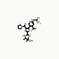 CCC(Nc1cc(C(F)F)c(-c2sc(C(=O)NC(C)C(C)(C)O)nc2C(=O)N2CCC[C@@H]2C)cn1)C(F)(F)F